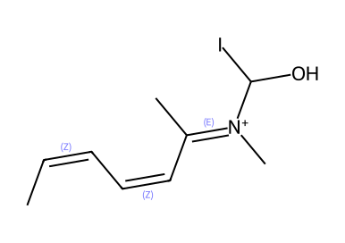 C\C=C/C=C\C(C)=[N+](/C)C(O)I